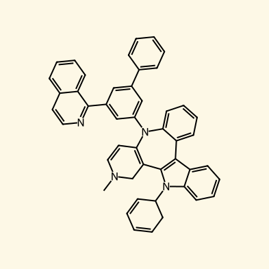 CN1C=CC2=C(C1)c1c(c3ccccc3n1C1C=CC=CC1)-c1ccccc1N2c1cc(-c2ccccc2)cc(-c2nccc3ccccc23)c1